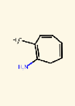 CC1=C(N)CC=CC=C1